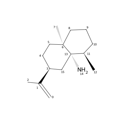 C=C(C)[C@H]1CC[C@@]2(C)CCC[C@@H](C)[C@@]2(N)C1